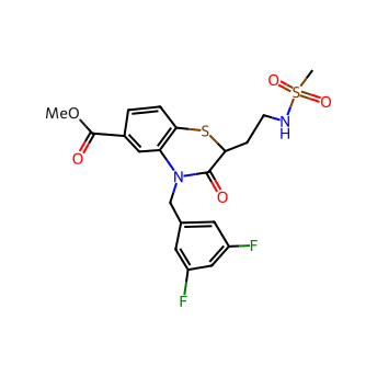 COC(=O)c1ccc2c(c1)N(Cc1cc(F)cc(F)c1)C(=O)C(CCNS(C)(=O)=O)S2